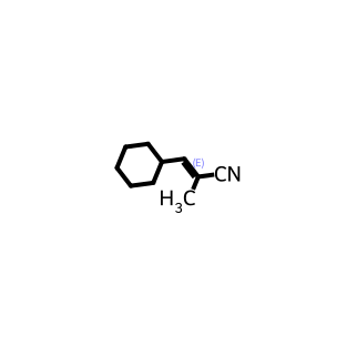 C/C(C#N)=C\C1CCCCC1